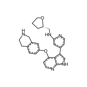 c1cc(-c2c[nH]c3nccc(Oc4ccc5c(c4)CNCC5)c23)cc(NC[C@@H]2CCCO2)n1